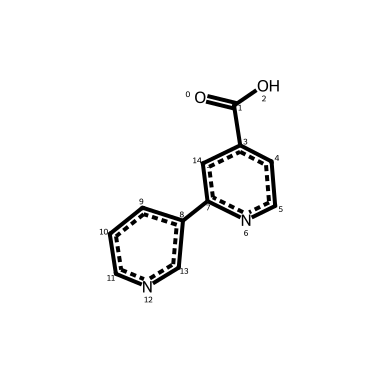 O=C(O)c1ccnc(-c2cccnc2)c1